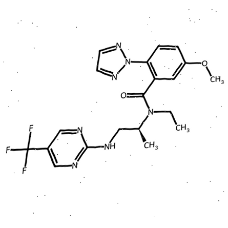 CCN(C(=O)c1cc(OC)ccc1-n1nccn1)[C@@H](C)CNc1ncc(C(F)(F)F)cn1